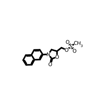 CS(=O)(=O)OCC1CN(c2ccc3ccccc3c2)C(=O)O1